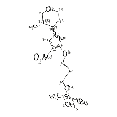 CC(C)(C)[Si](C)(C)OCCCOc1nn([C@@H]2CCOC[C@H]2F)cc1[N+](=O)[O-]